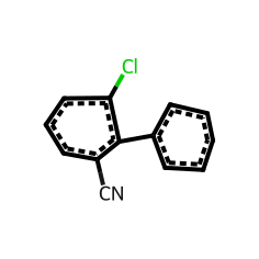 N#Cc1cccc(Cl)c1-c1ccccc1